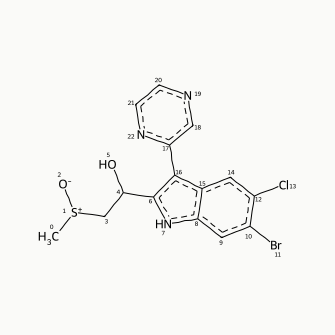 C[S+]([O-])CC(O)c1[nH]c2cc(Br)c(Cl)cc2c1-c1cnccn1